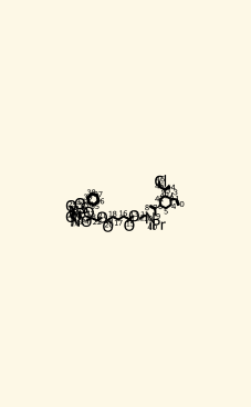 C=C[C@]1(C)CC[C@@H](C(=C)CN(CCOC(=O)CCCC(=O)OCCOc2no[n+]([O-])c2S(=O)(=O)c2ccccc2)C(C)C)C[C@H]1C(=C)CCl